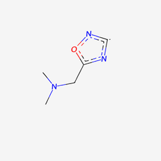 CN(C)Cc1n[c]no1